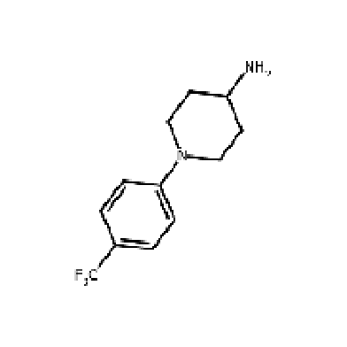 NC1CCN(c2ccc(C(F)(F)F)cc2)CC1